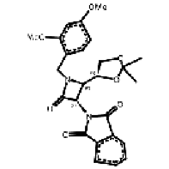 COc1ccc(CN2C(=O)[C@H](N3C(=O)c4ccccc4C3=O)[C@@H]2[C@H]2COC(C)(C)O2)c(OC)c1